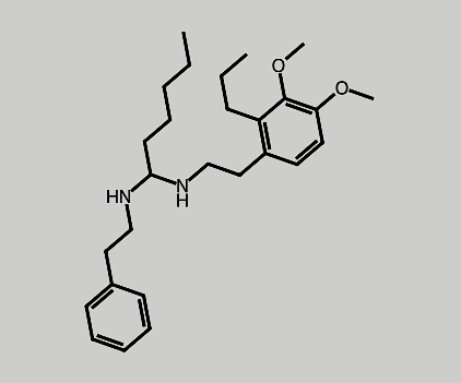 CCCCCC(NCCc1ccccc1)NCCc1ccc(OC)c(OC)c1CCC